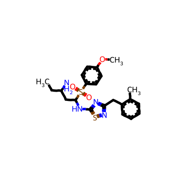 CCC(N)CC(Nc1nc(Cc2ccccc2C)ns1)S(=O)(=O)c1ccc(OC)cc1